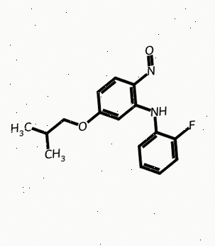 CC(C)COc1ccc(N=O)c(Nc2ccccc2F)c1